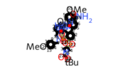 COc1ccc(CN(Cc2ccc(OC)cc2)S(=O)(=O)c2c(S(=O)(=O)C3CN(C(=O)OC(C)(C)C)C3)ccc(-c3ccc(C(N)=O)nc3N)c2-c2nnnn2Cc2ccc(OC)cc2)cc1